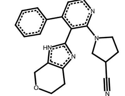 N#CC1CCN(c2nccc(-c3ccccc3)c2-c2nc3c([nH]2)COCC3)C1